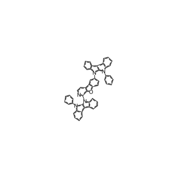 c1ccc(-n2c3ccccc3c3c4ccccc4n(-c4ccc5oc6c(-n7c8ccccc8c8c9ccccc9n(-c9ccccc9)c87)nccc6c5c4)c32)cc1